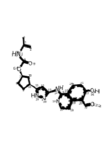 CC(C)NC(=O)O[C@@H]1CC[C@H](c2cc(Nc3nccc4c(C=O)c(O)ccc34)n[nH]2)C1